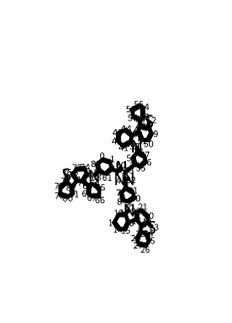 c1cc(-c2nc(-c3ccc(-n4c5ccccc5c5c6c(ccc54)sc4ccccc46)cc3)nc(-c3cccc(-n4c5ccccc5c5c6c(ccc54)sc4ccccc46)c3)n2)cc(-n2c3ccccc3c3c4c(ccc32)sc2ccccc24)c1